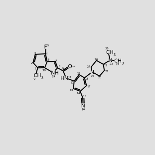 Cc1ccc(F)c2cc(C(=O)Nc3cc(C#N)cc(N4CCC(N(C)C)CC4)c3)[nH]c12